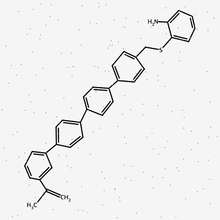 C=C(C)c1cccc(-c2ccc(-c3ccc(-c4ccc(CSc5ccccc5N)cc4)cc3)cc2)c1